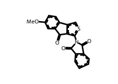 COc1ccc2c(c1)C(=O)c1c-2csc1N1C(=O)c2ccccc2C1=O